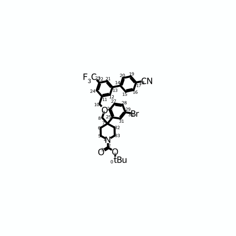 CC(C)(C)OC(=O)N1CCC(COCc2cc(-c3ccc(C#N)cc3)cc(C(F)(F)F)c2)(c2cccc(Br)c2)CC1